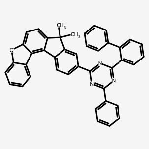 CC1(C)c2cc(-c3nc(-c4ccccc4)nc(-c4ccccc4-c4ccccc4)n3)ccc2-c2c1ccc1oc3ccccc3c21